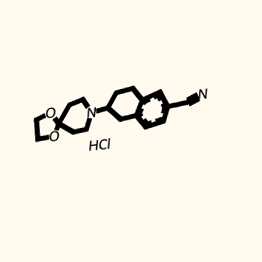 Cl.N#Cc1ccc2c(c1)CCC(N1CCC3(CC1)OCCO3)C2